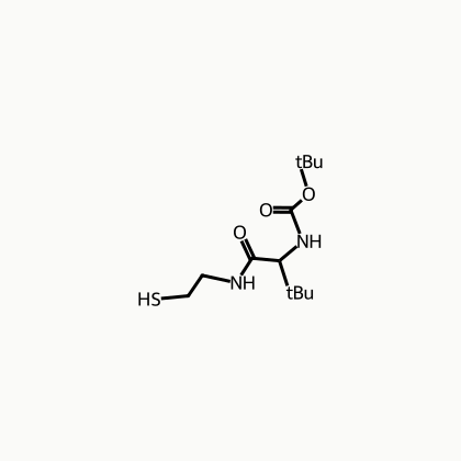 CC(C)(C)OC(=O)NC(C(=O)NCCS)C(C)(C)C